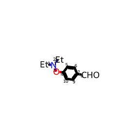 CCN(CC)Oc1ccc(C=O)cc1